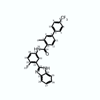 Cc1cc(-c2ccc(C(F)(F)F)cc2)ccc1C(=O)Nc1ccc(F)c(-c2nc3ccccc3[nH]2)c1